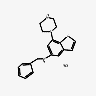 Cl.c1ccc(CNc2cc(N3CCNCC3)c3occc3c2)cc1